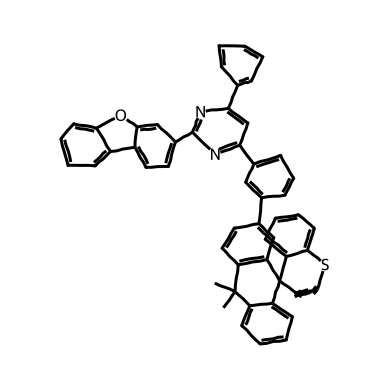 CC1(C)c2ccccc2C2(c3ccccc3Sc3ccccc32)c2cc(-c3cccc(-c4cc(-c5ccccc5)nc(-c5ccc6c(c5)oc5ccccc56)n4)c3)ccc21